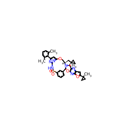 Cc1cccc(C)c1-c1cc2nc(n1)NS(=O)(=O)c1cccc(c1)C(=O)N(Cc1cnc3oc(C4(C)CC4)cc3n1)[C@H](CC1(C)CC1)CO2